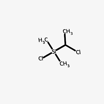 CC(Cl)[Si](C)(C)Cl